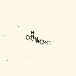 c1ccc2[nH]c(N=Nc3ccc(N4CCCC4)cc3)nc2c1